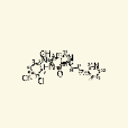 CN(c1ccc(Cl)c(Cl)c1)c1nc2cnn(CCOc3cccnc3)c2c(=O)[nH]1